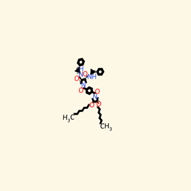 CCCCCCCCO[C@@H]1CN(C(=O)c2ccc(C(=O)N3C[C@@H](C(=O)N[C@H]4C[C@@H]4c4ccccc4)[C@H](C(=O)N[C@H]4C[C@@H]4c4ccccc4)C3)cc2)C[C@H]1OCCCCCCCC